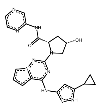 O=C(Nc1cnccn1)[C@@H]1C[C@H](O)CN1c1nc(Nc2cc(C3CC3)[nH]n2)c2cccn2n1